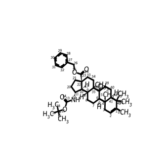 CC1=CC[C@]2(C)[C@H]3CC[C@@H]4[C@H]5[C@H](NC(=O)OC(C)(C)C)CC[C@]5(C(=O)OCc5ccccc5)CC[C@@]4(C)[C@]3(C)CC[C@H]2C1(C)C